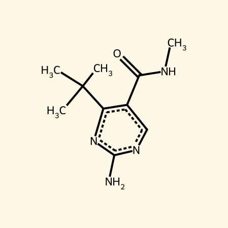 CNC(=O)c1cnc(N)nc1C(C)(C)C